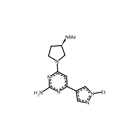 CCn1cc(-c2cc(N3CC[C@@H](NC)C3)nc(N)n2)cn1